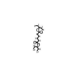 CCC(CC)OC(=O)CCCCC(=O)OC(CC)CC